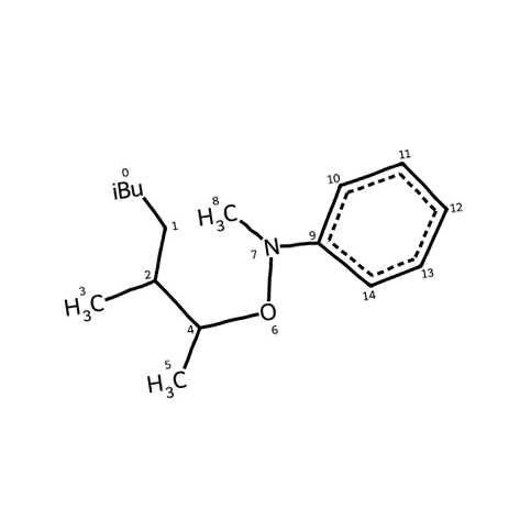 CCC(C)CC(C)C(C)ON(C)c1ccccc1